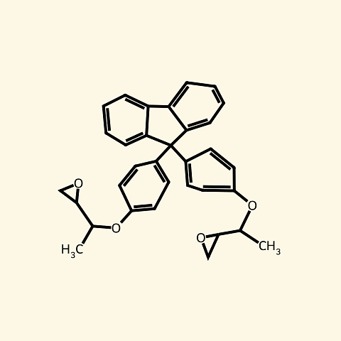 CC(Oc1ccc(C2(c3ccc(OC(C)C4CO4)cc3)c3ccccc3-c3ccccc32)cc1)C1CO1